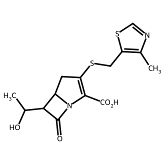 Cc1ncsc1CSC1=C(C(=O)O)N2C(=O)C(C(C)O)C2C1